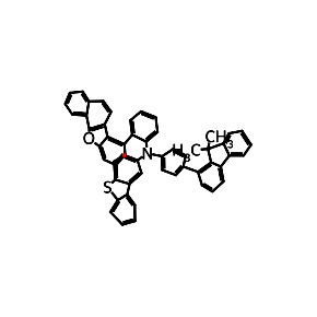 CC1(C)c2ccccc2-c2cccc(-c3ccc(N(c4ccc5sc6ccccc6c5c4)c4ccccc4-c4cccc5oc6c7ccccc7ccc6c45)cc3)c21